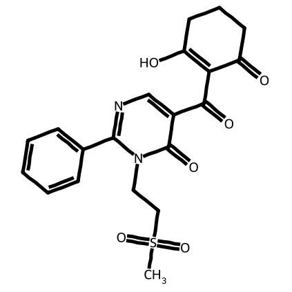 CS(=O)(=O)CCn1c(-c2ccccc2)ncc(C(=O)C2=C(O)CCCC2=O)c1=O